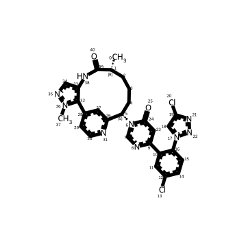 C[C@@H]1CCC[C@H](n2cnc(-c3cc(Cl)ccc3-n3cc(Cl)nn3)cc2=O)c2cc(ccn2)-c2c(cnn2C)NC1=O